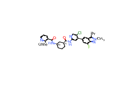 COc1ncccc1C(=O)N[C@@H]1CCC[C@H](C(=O)Nc2cc(-c3cc(F)c4nn(C)c(C(C)C)c4c3)c(Cl)cn2)C1